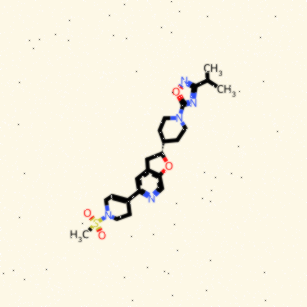 CC(C)c1noc(N2CCC([C@H]3Cc4cc(C5=CCN(S(C)(=O)=O)CC5)ncc4O3)CC2)n1